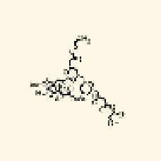 C=CCOC(=O)C[C@H]1C[C@@H](C[C@H]2CCC[C@@H](C[C@@H](O)CC(=O)O[C@H](CC)CO)O2)O[C@@H](/C=C/C(C)(C)[C@](O)(OC)[C@@H](OC(C)=O)/C(=C/C(=O)OC)CC)O1